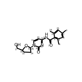 Cc1cc(C)c(C(=O)Nc2ccn([C@H]3CCC(CO)O3)c(=O)n2)c(C)c1